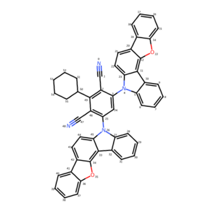 N#Cc1c(-n2c3ccccc3c3c4oc5ccccc5c4ccc32)cc(-n2c3ccccc3c3c4oc5ccccc5c4ccc32)c(C#N)c1C1CCCCC1